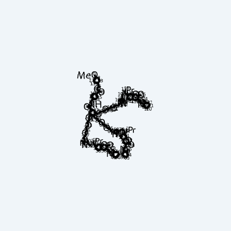 COc1ccc(COC(=O)c2ccc(CNC(=O)c3cc(OCCOCCOCCn4cc(CN(c5ccc6cc(-c7nc8ccccc8s7)c(=O)oc6c5)C(C)C)nn4)c(OCCOCCOCCn4cc(CN(c5ccc6cc(-c7nc8ccccc8s7)c(=O)oc6c5)C(C)C)nn4)c(OCCOCCOCCn4cc(CN(c5ccc6cc(-c7nc8ccccc8s7)c(=O)oc6c5)C(C)C)nn4)c3)cc2)cc1